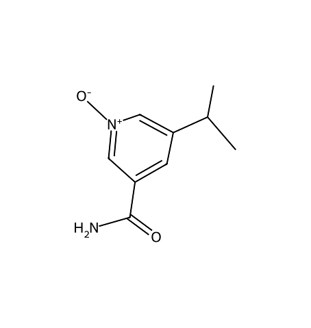 CC(C)c1cc(C(N)=O)c[n+]([O-])c1